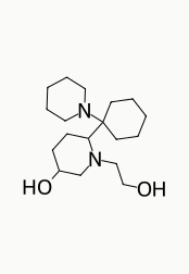 OCCN1CC(O)CCC1C1(N2CCCCC2)CCCCC1